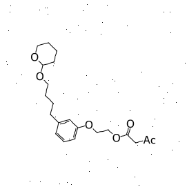 CC(=O)CC(=O)OCCOc1cccc(CCCCOC2CCCCO2)c1